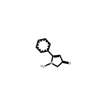 NN1CC(=O)C=C1c1ccccc1